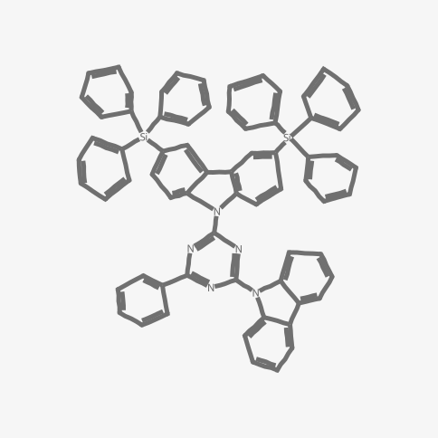 c1ccc(-c2nc(-n3c4ccccc4c4ccccc43)nc(-n3c4ccc([Si](c5ccccc5)(c5ccccc5)c5ccccc5)cc4c4cc([Si](c5ccccc5)(c5ccccc5)c5ccccc5)ccc43)n2)cc1